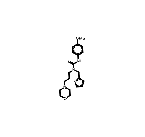 COc1ccc(NC(=S)N(CCCN2CCOCC2)Cc2cccs2)cc1